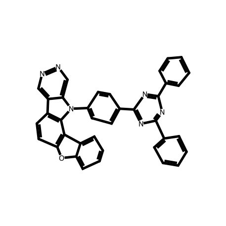 c1ccc(-c2nc(-c3ccccc3)nc(-c3ccc(-n4c5cnncc5c5ccc6oc7ccccc7c6c54)cc3)n2)cc1